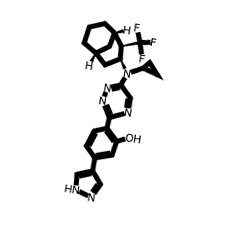 Oc1cc(-c2cn[nH]c2)ccc1-c1ncc(N(C2CC2)[C@H]2C[C@@H]3CCC[C@@H](C3)[C@H]2C(F)(F)F)nn1